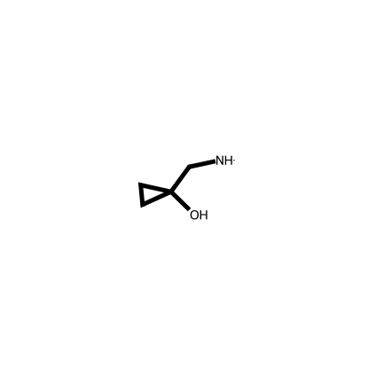 [NH]CC1(O)CC1